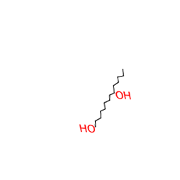 CCCCCC(O)CCCCCCCCO